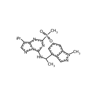 CC(C)c1cnn2c(NC(C)c3cccc4c3cnn4C)nc(S(C)(=O)=O)nc12